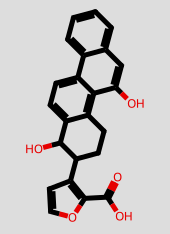 O=C(O)c1occc1C1CCc2c(ccc3c2c(O)cc2ccccc23)C1O